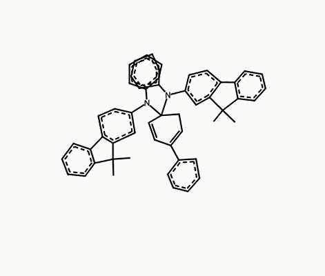 CC1(C)c2ccccc2-c2ccc(N(c3ccccc3)C3(N(c4ccccc4)c4ccc5c(c4)C(C)(C)c4ccccc4-5)C=CC(c4ccccc4)=CC3)cc21